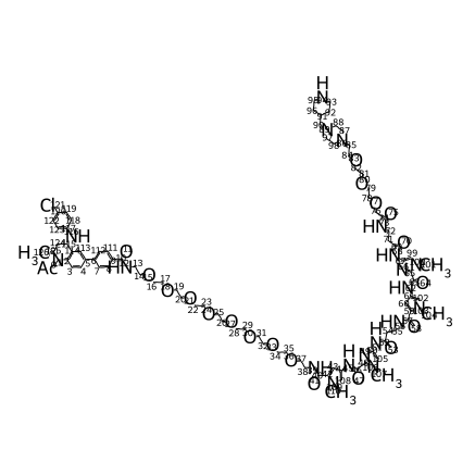 CC(=O)N1c2ccc(-c3ccc(C(=O)NCCOCCOCCOCCOCCOCCOCCOCCOCCNC(=O)c4cc(NC(=O)c5nc(NC(=O)CCNC(=O)c6cc(NC(=O)c7nc(NC(=O)CCNC(=O)COCCOCCOCCN8CCN(CC9CCNCC9)CC8)cn7C)cn6C)cn5C)cn4C)cc3)cc2C(Nc2ccc(Cl)cc2)C[C@@H]1C